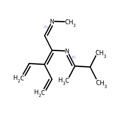 C=CC(C=C)=C(/C=N\C)/N=C(\C)C(C)C